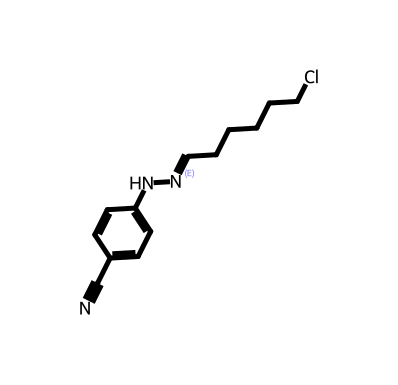 N#Cc1ccc(N/N=C/CCCCCCl)cc1